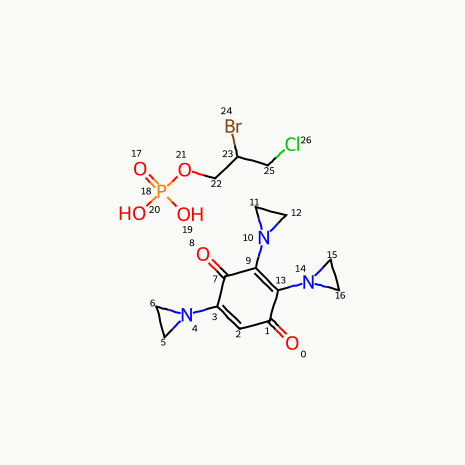 O=C1C=C(N2CC2)C(=O)C(N2CC2)=C1N1CC1.O=P(O)(O)OCC(Br)CCl